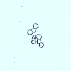 C[CH2][Al]([c]1cccc2c1Cc1ccccc1-2)[c]1cccc2c1Cc1ccccc1-2